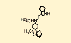 CN(C)C1(c2ccccn2)CCC(NCCc2c[nH]c3ccccc23)CC1.Cl.Cl.Cl